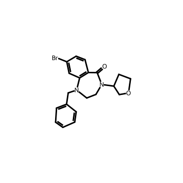 O=C1c2ccc(Br)cc2N(Cc2ccccc2)CCN1C1CCOC1